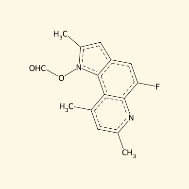 Cc1cc(C)c2c(n1)c(F)cc1cc(C)n(OC=O)c12